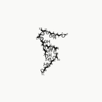 COCCCNCC(O)COCC(C)OCC(C)OCC(O)CN(CCCOC)CC(O)COCC(C)OCC(C)OCC(O)CNCCCOC